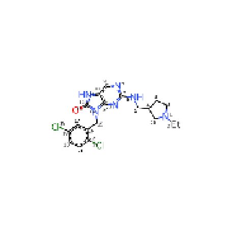 CCN1CCC(CNc2ncc3[nH]c(=O)n(Cc4cc(Cl)ccc4Cl)c3n2)C1